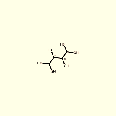 OC(S)[C@@H](O)[C@H](O)C(O)S